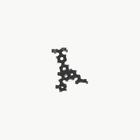 CC(C)C1CCC(N2CCC3(CC2)C(=O)N(CC2=NCCN2)Cc2cc(OC(N)=O)ccc23)CC1